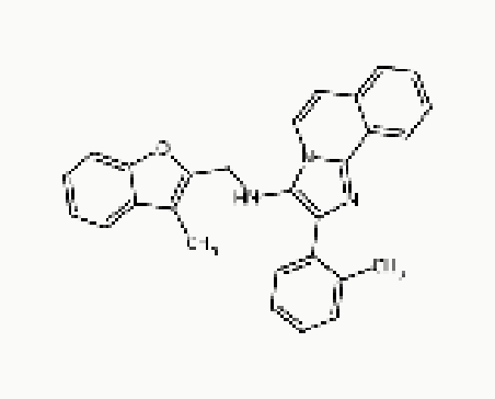 Cc1ccccc1-c1nc2c3ccccc3ccn2c1NCc1oc2ccccc2c1C